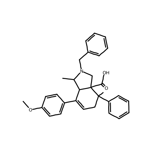 COc1ccc(C2=CCC(C)(c3ccccc3)C3(C(=O)O)CN(Cc4ccccc4)C(C)C23)cc1